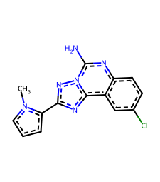 Cn1cccc1-c1nc2c3cc(Cl)ccc3nc(N)n2n1